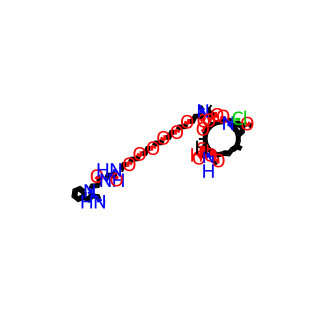 CNCc1cc2ccccc2n1CCC(=O)NCC(=O)NCCOCCOCCOCCOCCOCCOCCC(=O)N(C)[C@@H](C)C(=O)O[C@H]1CC(=O)N(C)c2cc(cc(OC)c2Cl)C/C(C)=C/C=C/[C@@H](OC)[C@@]2(O)C[C@H](OC(=O)N2)[C@@H](C)C2O[C@]21C